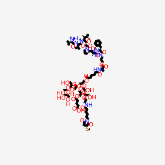 CC[C@H](C)[C@@H]([C@@H](CC(=O)N1CCC[C@H]1[C@H](OC)[C@@H](C)C(=O)N[C@@H](Cc1ccccc1)C(=O)NCCCOC(=O)C(C)NC(=O)CCCCC(=O)OCC(COC(CO)OC(CO)COC(CO)OC(CO)CO)OC(CO)OCC(COC(=O)CCCC(=O)O)OC(CO)OCCNC(=O)CCCCCN1C(=O)CC(SC)C1=O)OC)N(C)C(=O)[C@@H](NC(=O)[C@H](C(C)C)N(C)C)C(C)C